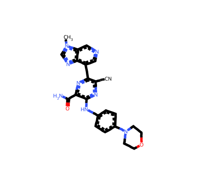 Cn1cnc2c(-c3nc(C(N)=O)c(Nc4ccc(N5CCOCC5)cc4)nc3C#N)cncc21